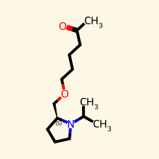 CC(=O)CCCCOC[C@@H]1CCCN1C(C)C